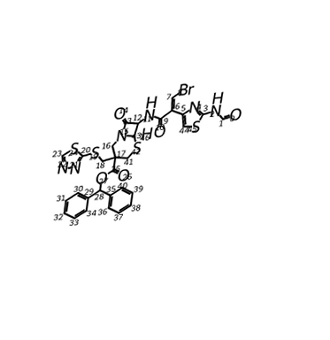 O=CNc1nc(C(=CBr)C(=O)NC2C(=O)N3CC(CSc4nncs4)(C(=O)OC(c4ccccc4)c4ccccc4)CS[C@H]23)cs1